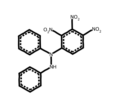 O=[N+]([O-])c1ccc(N(Nc2ccccc2)c2ccccc2)c([N+](=O)[O-])c1[N+](=O)[O-]